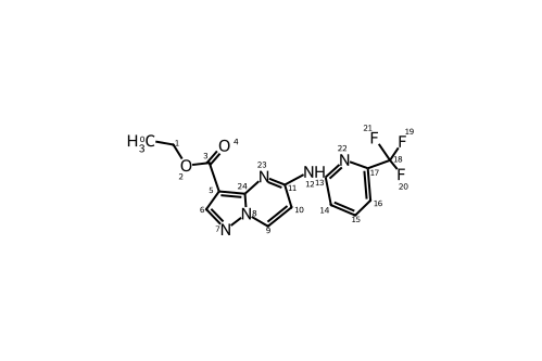 CCOC(=O)c1cnn2ccc(Nc3cccc(C(F)(F)F)n3)nc12